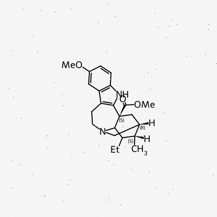 CCC1C2N3CCc4c([nH]c5ccc(OC)cc45)[C@]2(C(=O)OC)C[C@@H](C3)[C@@H]1C